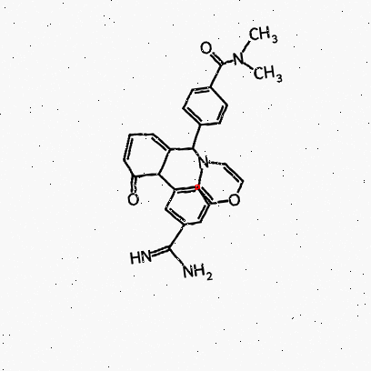 CN(C)C(=O)c1ccc(C(C2=CC=CC(=O)C2c2cccc(C(=N)N)c2)N2C=COC=C2)cc1